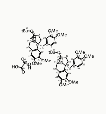 COc1ccc(C[C@@]2(CCC(=O)OC(C)(C)C)NCCc3cc(OC)c(OC)cc32)cc1OC.COc1ccc(C[C@@]2(CCC(=O)OC(C)(C)C)NCCc3cc(OC)c(OC)cc32)cc1OC.O=C(O)C(=O)O